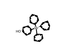 [OH-].c1cc[c]([Sb+]([c]2ccccc2)([c]2ccccc2)[c]2ccccc2)cc1